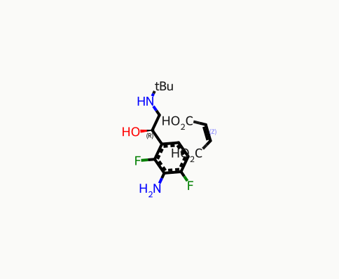 CC(C)(C)NC[C@H](O)c1ccc(F)c(N)c1F.O=C(O)/C=C\C(=O)O